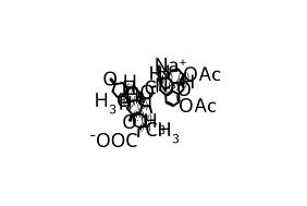 CC(=O)Oc1ccc2c3c1O[C@H]1[C@@H](OC(C)=O)C=C[C@H]4[C@@H](C2)N(C)CC[C@@]341.C[C@H](CCC(=O)[O-])[C@H]1CC[C@H]2[C@@H]3C(=O)C[C@@H]4CC(=O)CC[C@]4(C)[C@H]3CC(=O)[C@]12C.[Na+]